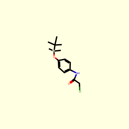 CC(C)(C)[Si](C)(C)Oc1ccc(NC(=O)CCl)cc1